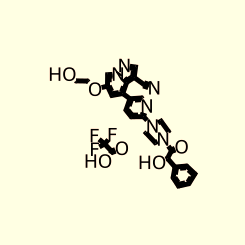 N#Cc1cnn2cc(OCCO)cc(-c3ccc(N4CCN(C(=O)C(O)c5ccccc5)CC4)nc3)c12.O=C(O)C(F)(F)F